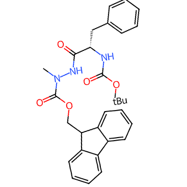 CN(NC(=O)[C@H](Cc1ccccc1)NC(=O)OC(C)(C)C)C(=O)OCC1c2ccccc2-c2ccccc21